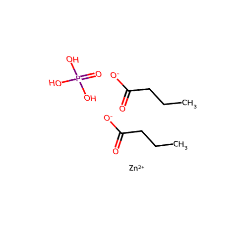 CCCC(=O)[O-].CCCC(=O)[O-].O=P(O)(O)O.[Zn+2]